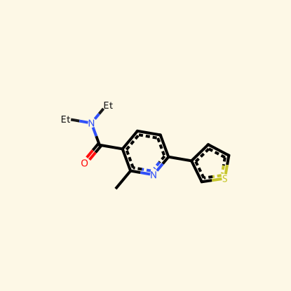 CCN(CC)C(=O)c1ccc(-c2ccsc2)nc1C